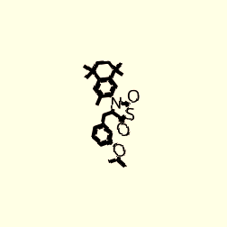 Cc1cc2c(cc1N1C(=O)SC(=O)C1Cc1cccc(OC(C)C)c1)C(C)(C)CCC2(C)C